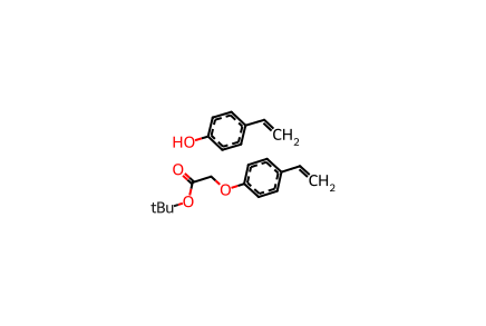 C=Cc1ccc(O)cc1.C=Cc1ccc(OCC(=O)OC(C)(C)C)cc1